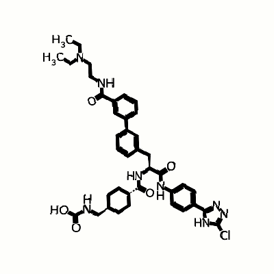 CCN(CC)CCNC(=O)c1cccc(-c2cccc(C[C@H](NC(=O)[C@H]3CC[C@H](CNC(=O)O)CC3)C(=O)Nc3ccc(-c4nnc(Cl)[nH]4)cc3)c2)c1